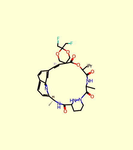 CC1NC(=O)C(C(C)C)OC(=O)C2(/C=C/c3ccc4ccc(nc4c3)[C@@H](C)NC(=O)C3CCCN(N3)C1=O)COC(CF)(CF)OC2